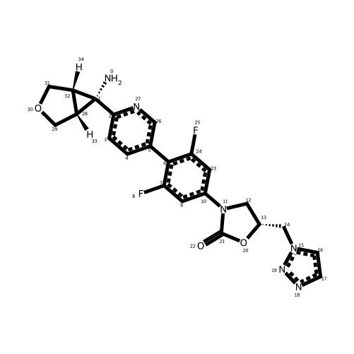 N[C@]1(c2ccc(-c3c(F)cc(N4C[C@H](Cn5ccnn5)OC4=O)cc3F)cn2)[C@@H]2COC[C@@H]21